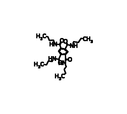 CCCCNC(=O)c1cc(C(=O)NCCCC)c(C(=O)NCCCC)cc1C(=O)NCCCC